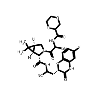 CC(C)(C)C(NC(=O)C1COCCO1)C(=O)N1C[C@H]2[C@@H]([C@H]1C(=O)NC(C#N)C[C@@H]1Oc3ccc(F)cc3NC1=O)C2(C)C